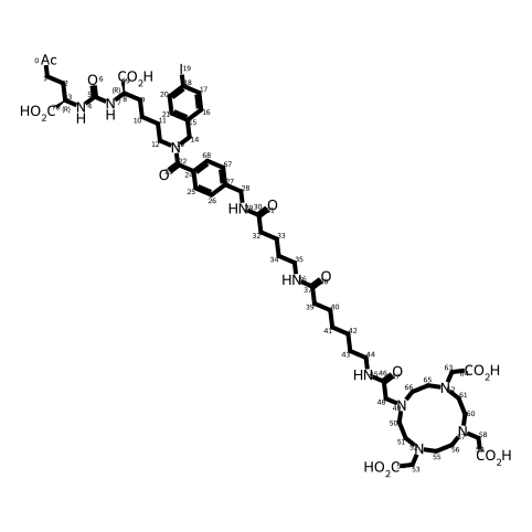 CC(=O)CC[C@@H](NC(=O)N[C@H](CCCCN(Cc1ccc(I)cc1)C(=O)c1ccc(CNC(=O)CCCCNC(=O)CCCCCCNC(=O)CN2CCN(CC(=O)O)CCN(CC(=O)O)CCN(CC(=O)O)CC2)cc1)C(=O)O)C(=O)O